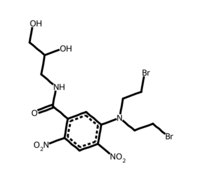 O=C(NCC(O)CO)c1cc(N(CCBr)CCBr)c([N+](=O)[O-])cc1[N+](=O)[O-]